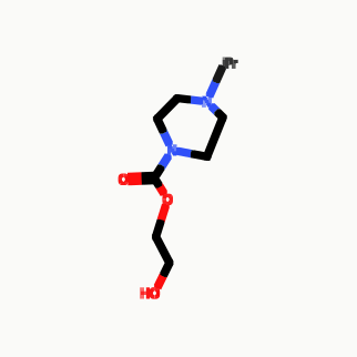 CC(C)N1CCN(C(=O)OCCO)CC1